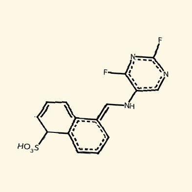 O=S(=O)(O)C1[C]=CC=c2c1cccc2=CNc1cnc(F)nc1F